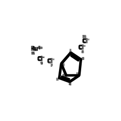 C1=CC2C=CC1C2.[Cl-].[Cl-].[Cl-].[Cl-].[Ru+4]